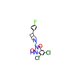 O=c1[nH]c2c(Cl)cc(Cl)cc2c(=O)n1CCN1CC2CC(c3ccc(F)cc3)C2C1